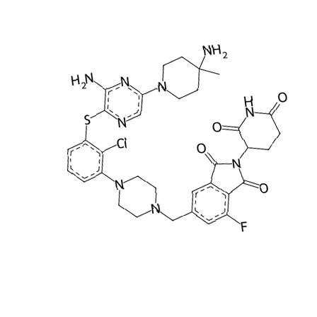 CC1(N)CCN(c2cnc(Sc3cccc(N4CCN(Cc5cc(F)c6c(c5)C(=O)N(C5CCC(=O)NC5=O)C6=O)CC4)c3Cl)c(N)n2)CC1